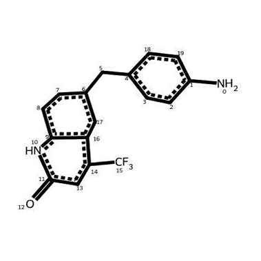 Nc1ccc(Cc2ccc3[nH]c(=O)cc(C(F)(F)F)c3c2)cc1